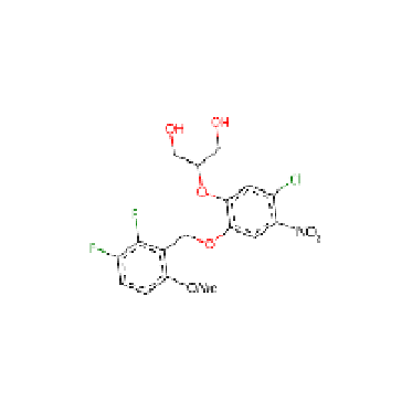 COc1ccc(F)c(F)c1COc1cc([N+](=O)[O-])c(Cl)cc1OC(CO)CO